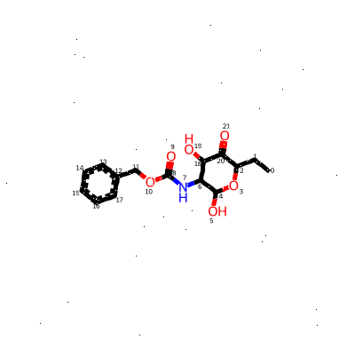 CCC1OC(O)C(NC(=O)OCc2ccccc2)C(O)C1=O